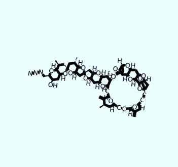 C=C1C[C@@H]2CC[C@@]34C[C@H]5OC6C(O3)[C@H]3O[C@H](CC[C@@H]3O[C@H]6C5O4)CC(=O)O[C@@H]3[C@@H](C)[C@@H]4O[C@@H]5C[C@]6(C[C@@H]7O[C@]8(C[C@H](C)[C@@H]9O[C@H](CN=[N+]=[N-])[C@H](O)C[C@@H]9O8)C[C@H](C)[C@@H]7O6)O[C@@H]5C[C@@H]4O[C@H]3C[C@H]3O[C@@H](CC[C@@H]1O2)C[C@@H](C)C3=C